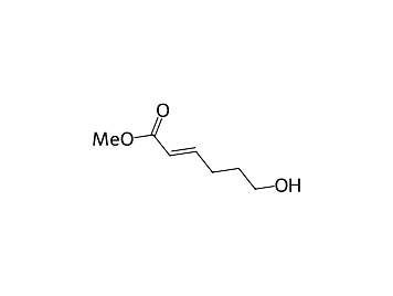 COC(=O)C=CCCCO